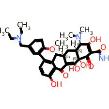 CCN(CC)Cc1ccc(OC)c(-c2ccc(O)c3c2C[C@H]2C[C@H]4[C@@H](N(C)C)C(O)=C(C(N)=O)C(=O)[C@@]4(O)C(O)=C2C3=O)c1